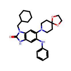 O=c1[nH]c2cc(Nc3ccccc3)c(N3CCC4(CC3)OCCO4)cc2n1CC1CCCCC1